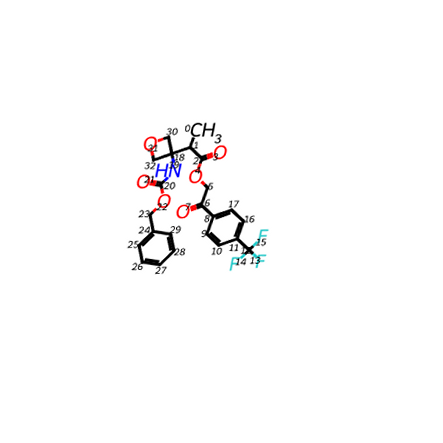 CC(C(=O)OCC(=O)c1ccc(C(F)(F)F)cc1)C1(NC(=O)OCc2ccccc2)COC1